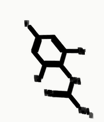 N=C(N)Nc1c(Br)cc(F)cc1Br